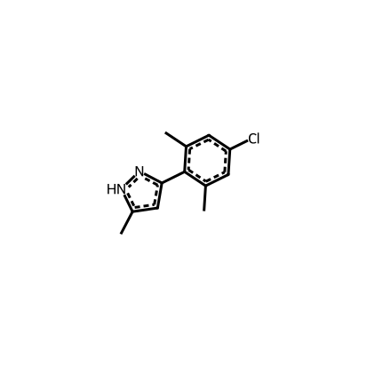 Cc1cc(-c2c(C)cc(Cl)cc2C)n[nH]1